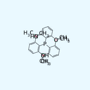 CNc1cccc(NC)c1P(c1c(OC)cccc1OC)c1c(OC)cccc1OC